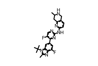 Cc1nc2c(F)cc(-c3nc(Nc4ccc5c(n4)CC(C)NC5)ncc3F)cc2n1C(C)(C)C